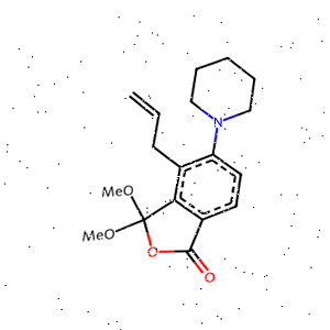 C=CCc1c(N2CCCCC2)ccc2c1C(OC)(OC)OC2=O